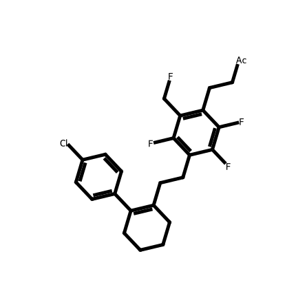 CC(=O)CCc1c(F)c(F)c(CCC2=C(c3ccc(Cl)cc3)CCCC2)c(F)c1CF